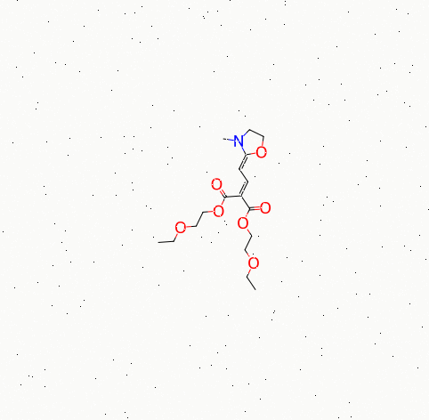 CCOCCOC(=O)C(=C/C=C1\OCCN1C)C(=O)OCCOCC